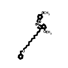 COc1ccc(CS(=O)(=O)n2cc(C=CCCCCCCCCCCOCc3ccccc3)c3c(OC)cccc32)cc1